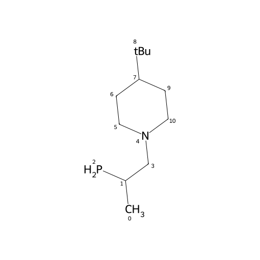 CC(P)CN1CCC(C(C)(C)C)CC1